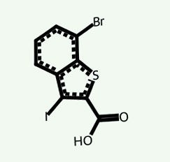 O=C(O)c1sc2c(Br)cccc2c1I